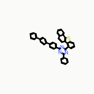 c1ccc(-c2ccc(-c3ccc(-c4nc(-c5ccccc5)nc(-c5cccc6sc7c8ccccc8ccc7c56)n4)cc3)cc2)cc1